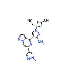 Cn1cc(-c2cn3nccc3c(-c3cn([C@]4(CC#N)C[C@H](C#N)C4)nc3N)n2)cn1